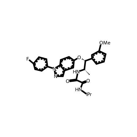 COc1cccc([C@@H](Oc2ccc3c(cnn3-c3ccc(F)cc3)c2)[C@H](C)NC(=O)C(=O)NC(C)C)c1